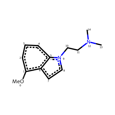 COc1cccc2c1ccn2CCN(C)C